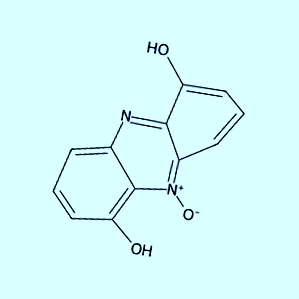 [O-][n+]1c2cccc(O)c2nc2cccc(O)c21